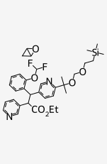 C1C2OC12.CCOC(=O)C(c1cccnc1)C(c1ccc(C(C)(C)OCOCC[Si](C)(C)C)nc1)c1ccccc1OC(F)F